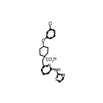 O=C(O)[C@]1(Cc2cccc(Nc3nccs3)n2)CC[C@@H](Oc2cccc(Cl)c2)CC1